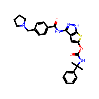 CC(C)(NC(=O)Oc1cc2c(NC(=O)c3ccc(CN4CCCC4)cc3)n[nH]c2s1)c1ccccc1